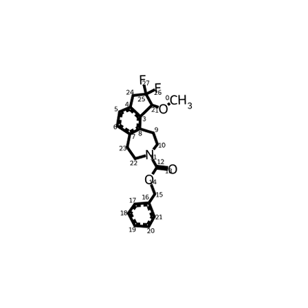 COC1c2c(ccc3c2CCN(C(=O)OCc2ccccc2)CC3)CC1(F)F